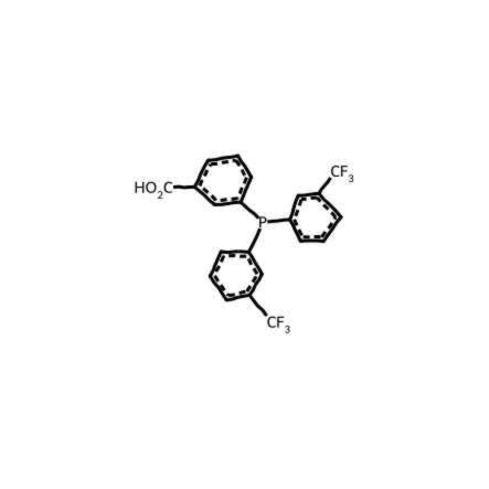 O=C(O)c1cccc(P(c2cccc(C(F)(F)F)c2)c2cccc(C(F)(F)F)c2)c1